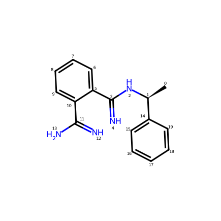 C[C@H](NC(=N)c1ccccc1C(=N)N)c1ccccc1